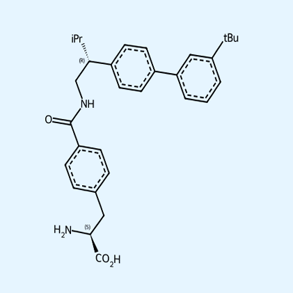 CC(C)[C@@H](CNC(=O)c1ccc(C[C@H](N)C(=O)O)cc1)c1ccc(-c2cccc(C(C)(C)C)c2)cc1